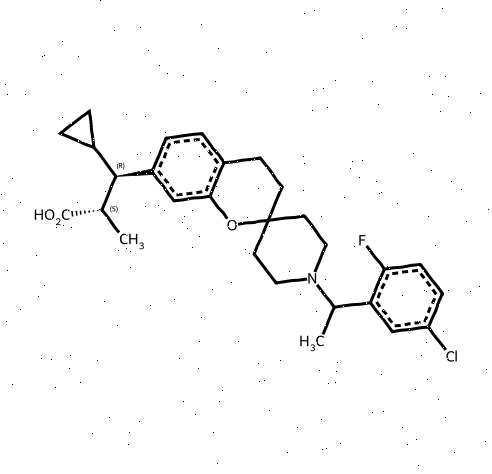 CC(c1cc(Cl)ccc1F)N1CCC2(CCc3ccc([C@H](C4CC4)[C@H](C)C(=O)O)cc3O2)CC1